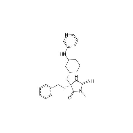 CN1C(=N)N[C@](CCc2ccccc2)(C[C@H]2CCCC(Nc3cccnc3)C2)C1=O